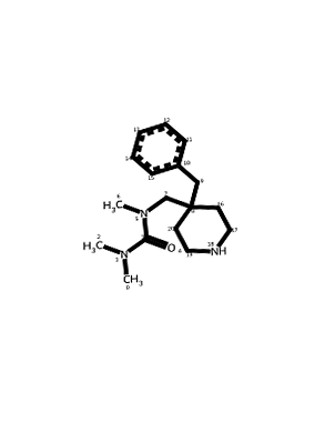 CN(C)C(=O)N(C)CC1(Cc2ccccc2)CCNCC1